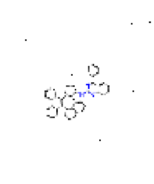 c1ccc(-c2nc(-n3c4cccc5c4c4c6c(cccc6ccc43)-c3c-5c4ccccc4c4ccccc34)nc3ccccc23)cc1